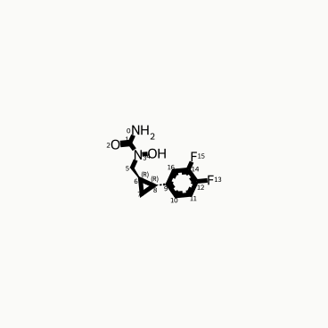 NC(=O)N(O)C[C@@H]1C[C@H]1c1ccc(F)c(F)c1